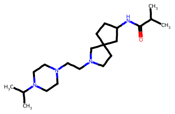 CC(C)C(=O)NC1CCC2(CCN(CCN3CCN(C(C)C)CC3)C2)C1